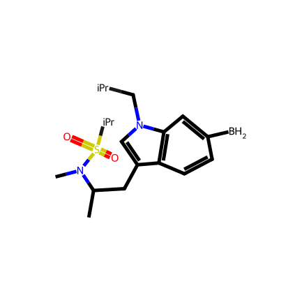 Bc1ccc2c(CC(C)N(C)S(=O)(=O)C(C)C)cn(CC(C)C)c2c1